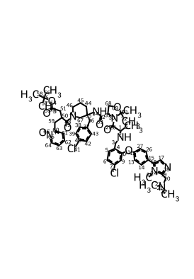 CC(NCc1ccc(Cl)cc1Oc1ccc(-c2cnc(CN(C)C)n2C)cc1)C(=O)N1[C@H](C(=O)N[C@@]2(Cc3ccc(Cl)cc3)CCCN(C(=O)C(CC(=O)OC(C)(C)C)Cc3cccc[n+]3[O-])C2)COC1(C)C